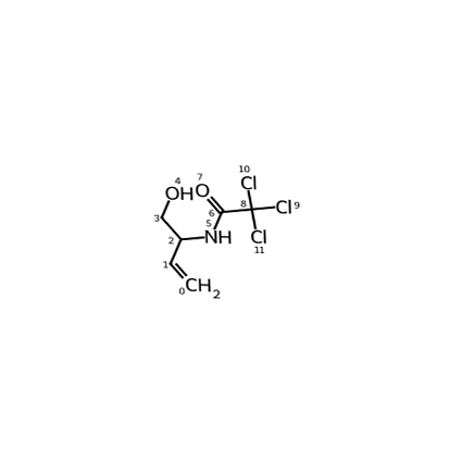 C=CC(CO)NC(=O)C(Cl)(Cl)Cl